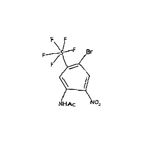 CC(=O)Nc1cc(S(F)(F)(F)(F)F)c(Br)cc1[N+](=O)[O-]